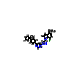 COc1ccc(F)c2c1cc(C)n2CCNc1cc(-c2ccc(C3(C#N)CCCC3)cc2)ncn1